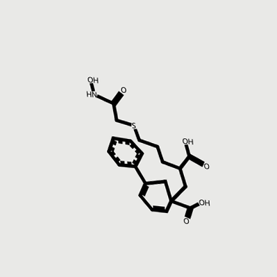 O=C(CSCCCC(CC1(C(=O)O)C=CC=C(c2ccccc2)C1)C(=O)O)NO